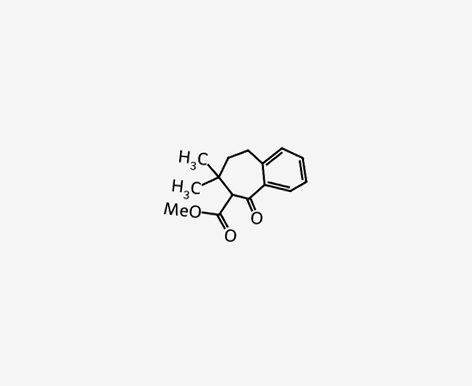 COC(=O)C1C(=O)c2ccccc2CCC1(C)C